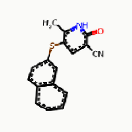 Cc1[nH]c(=O)c(C#N)cc1Sc1ccc2ccccc2c1